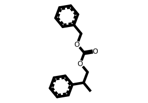 CC(COC(=O)OCc1ccccc1)c1ccccc1